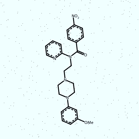 COc1cccc(N2CCN(CCN(C(=O)c3ccc([N+](=O)[O-])cc3)c3ccccn3)CC2)c1